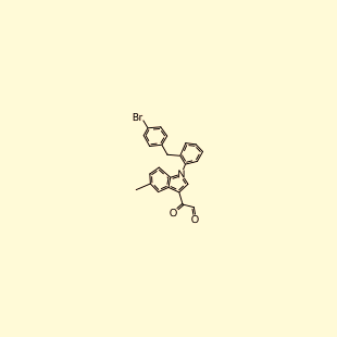 Cc1ccc2c(c1)c(C(=O)C=O)cn2-c1ccccc1Cc1ccc(Br)cc1